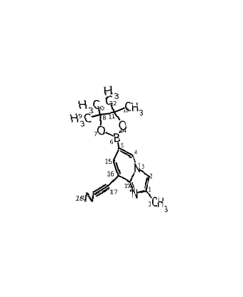 Cc1cn2cc(B3OC(C)(C)C(C)(C)O3)cc(C#N)c2n1